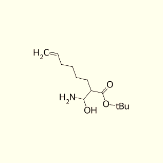 C=CCCCCC(C(=O)OC(C)(C)C)C(N)O